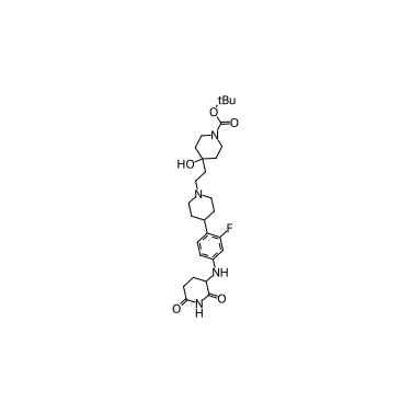 CC(C)(C)OC(=O)N1CCC(O)(CCN2CCC(c3ccc(NC4CCC(=O)NC4=O)cc3F)CC2)CC1